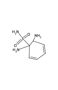 NC1C=CC=CC1(N)S(N)(=O)=O